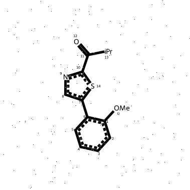 COc1ccccc1-c1cnc(C(=O)C(C)C)s1